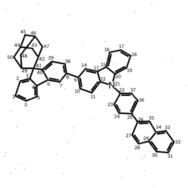 c1ccc2c(c1)-c1cc(-c3ccc4c(c3)c3ccccc3n4-c3ccc(-c4ccc5ccccc5c4)cc3)ccc1C21C2CC3CC(C2)CC1C3